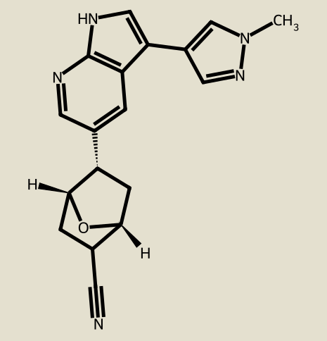 Cn1cc(-c2c[nH]c3ncc([C@@H]4C[C@H]5O[C@@H]4CC5C#N)cc23)cn1